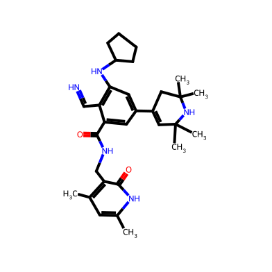 Cc1cc(C)c(CNC(=O)c2cc(C3=CC(C)(C)NC(C)(C)C3)cc(NC3CCCC3)c2C=N)c(=O)[nH]1